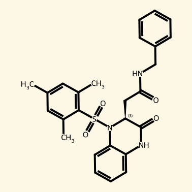 Cc1cc(C)c(S(=O)(=O)N2c3ccccc3NC(=O)[C@@H]2CC(=O)NCc2ccccc2)c(C)c1